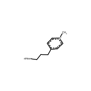 CCCCCCCCCc1cc[n+](C)cc1